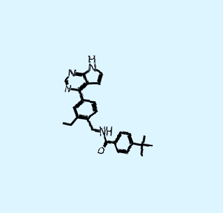 CCc1cc(-c2ncnc3[nH]ccc23)ccc1CNC(=O)c1ccc(C(C)(C)C)cc1